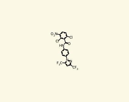 O=C(Nc1ccc(-n2nc(C(F)(F)F)cc2C(F)(F)F)cc1)c1c(Cl)ccc([N+](=O)[O-])c1Cl